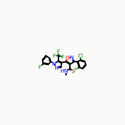 CNC(=S)c1c(-c2c(F)cccc2Cl)noc1-c1cnn(-c2cccc(F)c2)c1C(F)(F)F